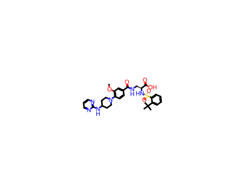 COc1cc(C(=O)NC[C@H](NS(=O)(=O)c2ccccc2C(C)(C)C)C(=O)O)ccc1N1CCC(Nc2ncccn2)CC1